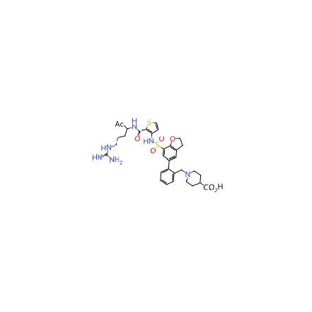 CC(=O)C(CCCNC(=N)N)NC(=O)c1sccc1NS(=O)(=O)c1cc(-c2ccccc2CN2CCC(C(=O)O)CC2)cc2c1OCC2